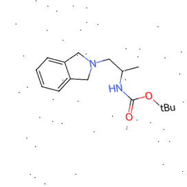 CC(CN1Cc2ccccc2C1)NC(=O)OC(C)(C)C